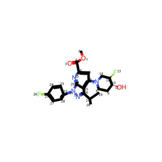 COC(=O)c1cc(N2CC[C@@H](O)[C@H](F)C2)c2c(C(C)C)nn(-c3ccc(F)cc3)c2n1